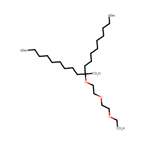 CCCCCCCCCCCCCCCCCCC(CCCCCCCCCCCCCCCCCC)(OCCOCCOCC(=O)O)C(=O)O